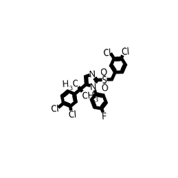 CC(C)(c1ccc(Cl)c(Cl)c1)c1cnc(S(=O)(=O)Cc2ccc(Cl)c(Cl)c2)n1-c1ccc(F)cc1